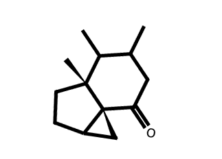 CC1CC(=O)[C@]23CC2CC[C@]3(C)C1C